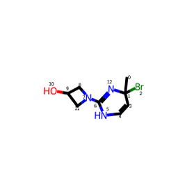 CC1(Br)C=CNC(N2CC(O)C2)=N1